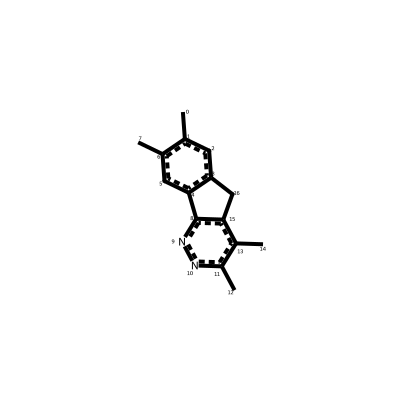 Cc1cc2c(cc1C)-c1nnc(C)c(C)c1C2